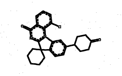 O=C1CCC(c2ccc3c(c2)-n2c(nc(=O)c4cccc(Cl)c42)C32CCCCC2)CC1